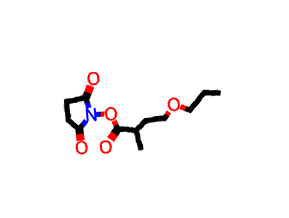 CCCOCCC(C)C(=O)ON1C(=O)CCC1=O